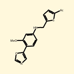 COc1cc(NCc2ccc(C(C)=O)s2)ccc1-c1cnco1